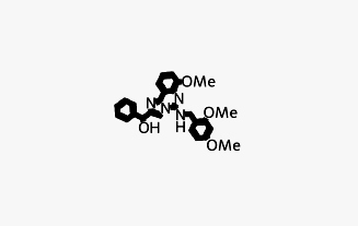 COc1ccc(CNc2nc3c(OC)cccc3c3nc(C(O)c4ccccc4)cn23)c(OC)c1